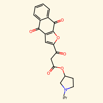 CC(C)N1CCC(OC(=O)CC(=O)c2cc3c(o2)C(=O)c2ccccc2C3=O)C1